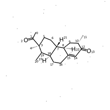 CC(=O)[C@@]1(C)CC[C@@H]2[C@H]3C[C@H](C)C(=O)C=C3CC[C@H]2C1C